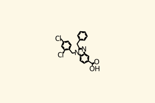 O=C(O)c1ccc2c(c1)nc(Cc1ccccc1)n2Cc1ccc(Cl)cc1Cl